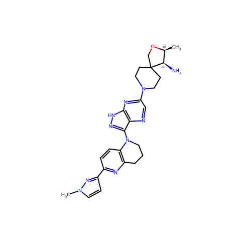 C[C@@H]1OCC2(CCN(c3cnc4c(N5CCCc6nc(-c7ccn(C)n7)ccc65)n[nH]c4n3)CC2)[C@@H]1N